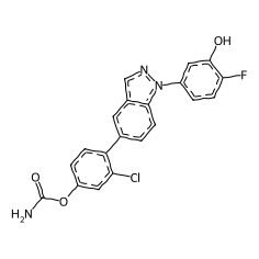 NC(=O)Oc1ccc(-c2ccc3c(cnn3-c3ccc(F)c(O)c3)c2)c(Cl)c1